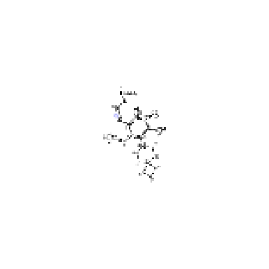 C=Cc1c(/C=N\COC)[nH]c(=O)c(C#N)c1N1CCC2(CCC2)CC1